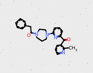 Cc1ncccc1C(=O)c1cccc(N2CCCN(C(=O)Cc3ccccc3)CC2)n1